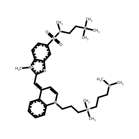 CN(C)CCC[N+](C)(C)CCCN1C=C/C(=C\c2sc3cc(S(=O)(=O)N(C)CC[N+](C)(C)C)ccc3[n+]2C)c2ccccc21